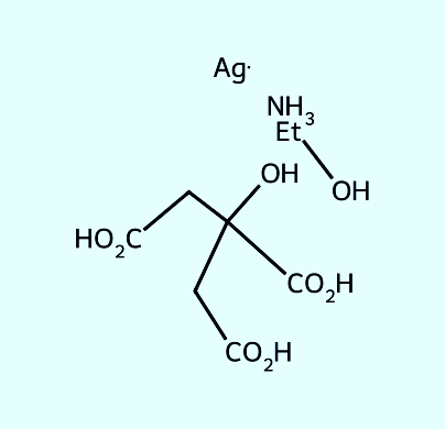 CCO.N.O=C(O)CC(O)(CC(=O)O)C(=O)O.[Ag]